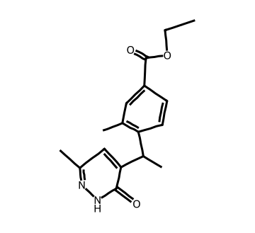 CCOC(=O)c1ccc(C(C)c2cc(C)n[nH]c2=O)c(C)c1